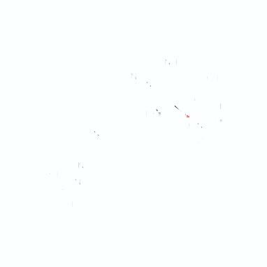 [2H]C([2H])([2H])n1ccc(-c2ccc(-c3cnn4c(N)c(S(C)(=O)=O)c([C@H]5C[C@H]6CC[C@@H](C5)N6C(=O)CO)nc34)cn2)n1